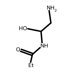 CCC(=O)NC(O)CN